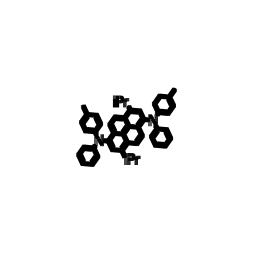 CC1=CC=C(N(c2ccccc2)c2cc(C(C)C)c3ccc4c(N(c5ccccc5)c5ccc(C)cc5)cc(C(C)C)c5ccc2c3c54)CC1